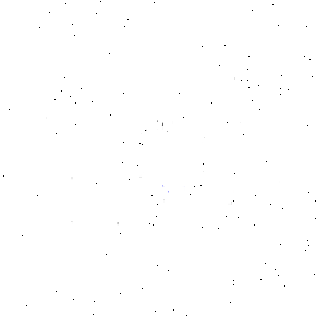 C=C(C=O)/C(=N\C1C(CCl)=CC(C)=CC1C)OC